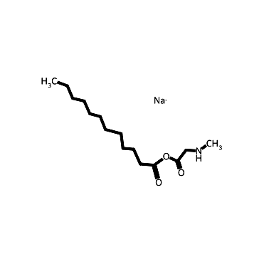 CCCCCCCCCCCC(=O)OC(=O)CNC.[Na]